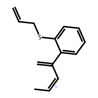 C=CCSc1ccccc1C(=C)/C=C\C